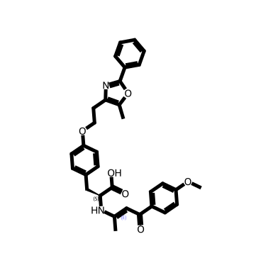 COc1ccc(C(=O)/C=C(\C)N[C@@H](Cc2ccc(OCCc3nc(-c4ccccc4)oc3C)cc2)C(=O)O)cc1